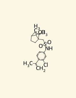 C=C(C)c1ccc(NS(=O)(=O)CC23CCC(CC2=O)C3(C)C)cc1Cl